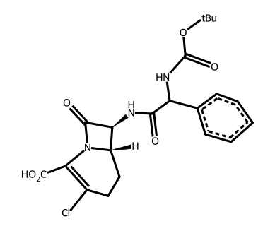 CC(C)(C)OC(=O)NC(C(=O)N[C@@H]1C(=O)N2C(C(=O)O)=C(Cl)CC[C@@H]12)c1ccccc1